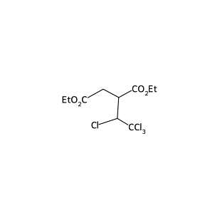 CCOC(=O)CC(C(=O)OCC)C(Cl)C(Cl)(Cl)Cl